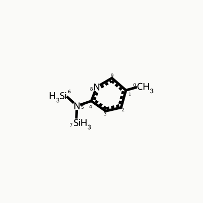 Cc1ccc(N([SiH3])[SiH3])nc1